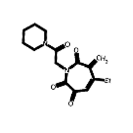 C=C1C(=O)N(CC(=O)N2CCCCC2)C(=O)C(=O)C=C1CC